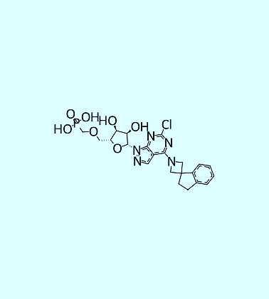 O=P(O)(O)COC[C@H]1O[C@@H](n2ncc3c(N4CC5(CCc6ccccc65)C4)nc(Cl)nc32)[C@H](O)[C@@H]1O